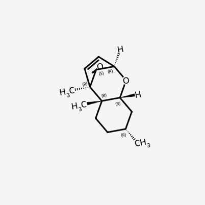 C[C@@H]1CC[C@@]2(C)[C@@H](C1)O[C@@H]1C=C[C@@]2(C)[C@]12CO2